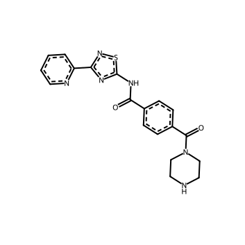 O=C(Nc1nc(-c2ccccn2)ns1)c1ccc(C(=O)N2CCNCC2)cc1